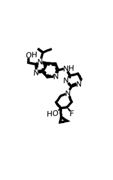 CC(C)n1c(CO)nc2cnc(NC3=NC(N4CC[C@@](O)(C5CC5)[C@H](F)C4)=NCC3)cc21